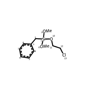 CO[Si](Cc1ccccc1)(OC)OCCCl